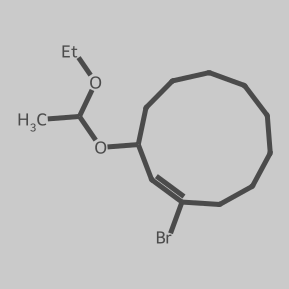 CCOC(C)OC1/C=C(/Br)CCCCCCCC1